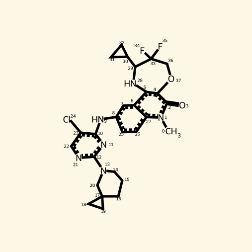 Cn1c(=O)c2c(c3cc(Nc4nc(N5CCCC6(CC6)C5)ncc4Cl)ccc31)NC(C1CC1)C(F)(F)CO2